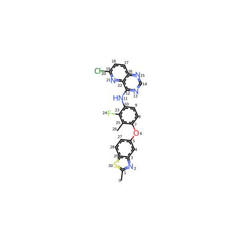 Cc1nc2cc(Oc3ccc(Nc4ncnc5ccc(Cl)nc45)c(F)c3C)ccc2s1